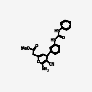 COC(=O)CC1=CC(c2cccc(NC(=O)Nc3ccccc3)c2)C(C#N)=C(N)O1